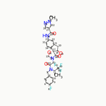 CC(N(Cc1ccc(F)cc1)C(=O)CN1CO[C@]2(C(=O)Cc3cc(NC(=O)c4cnn(C)c4)ccc32)C1=O)C(F)(F)F